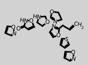 C1=NCCO1.C1COCN1.C=CCc1ncco1.O=c1cco[nH]1.c1ccsc1.c1cnoc1.c1cnoc1